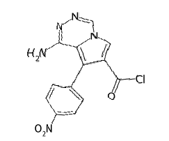 Nc1nncn2cc(C(=O)Cl)c(-c3ccc([N+](=O)[O-])cc3)c12